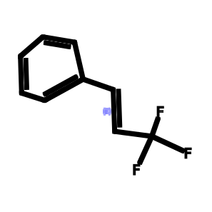 FC(F)(F)/C=C/c1ccccc1